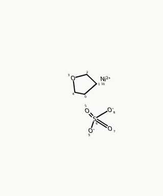 C1CCOC1.O=S(=O)([O-])[O-].[Ni+2]